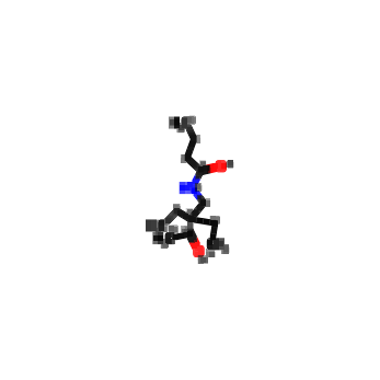 CCCC(=O)NCC(CC)(CC)C(C)=O